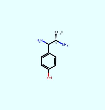 NC(c1ccc(O)cc1)[C@H](N)C(=O)O